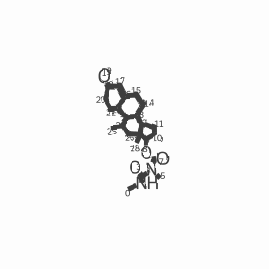 CNC(=O)N(C)C(=O)OC1CCC2C3CCC4=CC(=O)CCC4C3C(C)CC12C